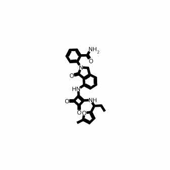 CCC(Nc1c(Nc2cccc3c2C(=O)N(c2ccccc2C(N)=O)C3)c(=O)c1=O)c1ccc(C)o1